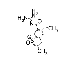 CCc1cc2c(cc1C(=O)N=C(N)N)S(=O)(=O)C=C(C)C2